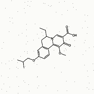 CCC1Cc2cc(OCC(C)C)ccc2-c2c(OC)c(=O)c(C(=O)O)cn21